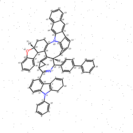 C1=Cc2c(n(-c3ccccc3)c3cccc(C4=NC(c5ccc(-c6ccccc6)cc5)[C@@H]5C(=C6CC46)C4=C(CC[C@H]6Oc7ccccc7C46)n4c6cc5ccc6c5cc6ccccc6cc54)c23)CC1